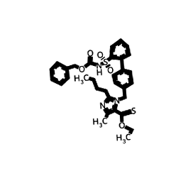 CCCCc1nc(C)c(C(=S)OCC)n1Cc1ccc(-c2ccccc2S(=O)(=O)NC(=O)OCc2ccccc2)cc1